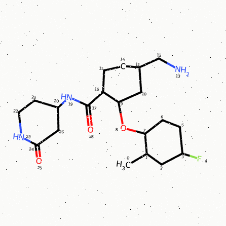 CC1CC(F)CCC1OC1CC(CN)CCC1C(=O)NC1CCNC(=O)C1